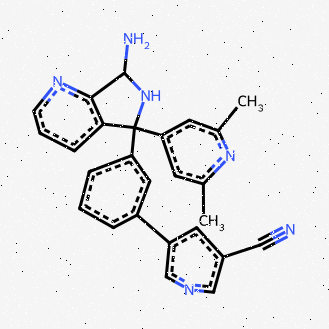 Cc1cc(C2(c3cccc(-c4cncc(C#N)c4)c3)NC(N)c3ncccc32)cc(C)n1